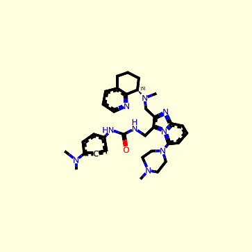 CN1CCN(c2cccc3nc(CN(C)[C@H]4CCCc5cccnc54)c(CNC(=O)Nc4ccc(N(C)C)cc4)n23)CC1